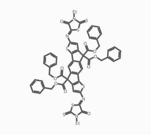 CCN1C(=O)/C(=N/c2cc3c(s2)-c2cc4c(cc2C3(C(=O)OCc2ccccc2)C(=O)OCc2ccccc2)-c2sc(/N=C3\SC(=S)N(CC)C3=O)cc2C4(C(=O)OCc2ccccc2)C(=O)OCc2ccccc2)SC1=S